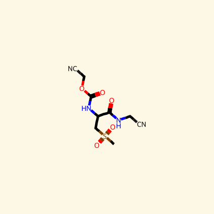 CS(=O)(=O)CC(NC(=O)OCC#N)C(=O)NCC#N